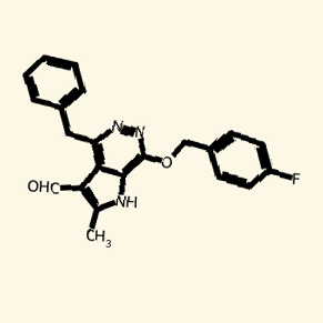 Cc1[nH]c2c(OCc3ccc(F)cc3)nnc(Cc3ccccc3)c2c1C=O